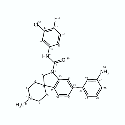 CN1CCC2(CC1)CN(C(=O)Nc1ccc(F)c(Cl)c1)c1cc(-c3cccc(N)c3)ccc12